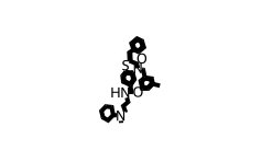 Cc1cccc(CN2C(=O)/C(=C\c3ccccc3)Sc3ccc(C(=O)NCCCN(C)C4CCCCC4)cc32)c1